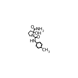 Cc1ccc(NC(=O)N2CCCC2(O)C(N)=O)cc1